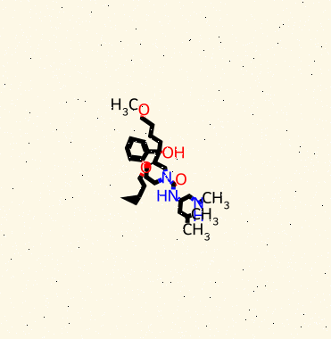 CNCC(CC(C)C)NC(=O)N1CCC[C@@H]([C@@](O)(CCCCOC)c2ccccc2OCCC2CC2)C1